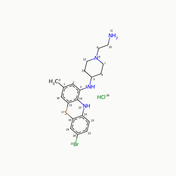 Cc1cc(NC2CCN(CCN)CC2)c2c(c1)Sc1cc(Br)ccc1N2.Cl